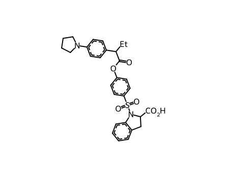 CCC(C(=O)Oc1ccc(S(=O)(=O)N2c3ccccc3CC2C(=O)O)cc1)c1ccc(N2CCCC2)cc1